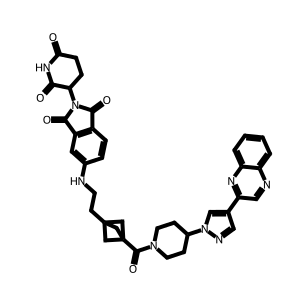 O=C1CCC(N2C(=O)c3ccc(NCCC45CC(C(=O)N6CCC(n7cc(-c8cnc9ccccc9n8)cn7)CC6)(C4)C5)cc3C2=O)C(=O)N1